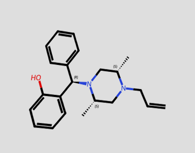 C=CCN1C[C@H](C)N([C@H](c2ccccc2)c2ccccc2O)C[C@@H]1C